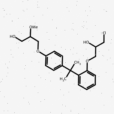 COC(CO)COc1ccc(C(C)(C)c2ccccc2OCC(O)CCl)cc1